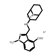 CN1C2CCCC1CC(NCc1nn(C)c3cccc(C(=O)[O-])c13)C2.[Li+]